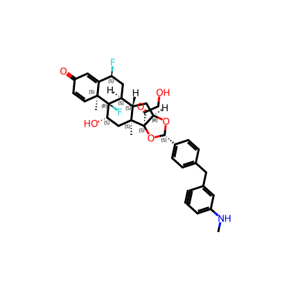 CNc1cc#cc(Cc2ccc([C@H]3O[C@@H]4C[C@H]5[C@@H]6C[C@H](F)C7=CC(=O)C=C[C@]7(C)[C@@]6(F)[C@@H](O)C[C@]5(C)[C@]4(C(=O)CO)O3)cc2)c1